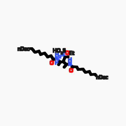 CCCCCCCCCCCCCCCCCC(=O)NC(C)C(C(C)N)C(C)NC(=O)CCCCCCCCCCCCCCCCC.CCOS(=O)(=O)O